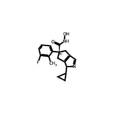 Cc1c(F)cccc1[C@]1(C(=O)NO)CC2=C(C1)C(C1CC1)N=C2